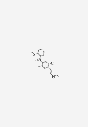 CCN(C)C=Nc1cc(C)c(Nc2ccccc2SC)cc1Cl